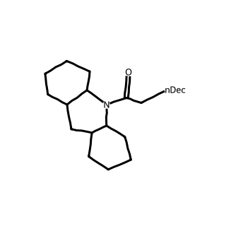 CCCCCCCCCCCC(=O)N1C2CCCCC2CC2CCCCC21